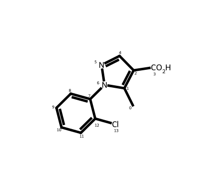 Cc1c(C(=O)O)cnn1-c1ccccc1Cl